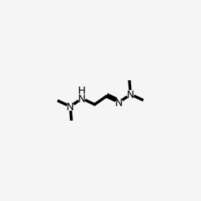 CN(C)/N=C/CNN(C)C